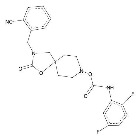 N#Cc1ccccc1CN1CC2(CCN(OC(=O)Nc3cc(F)ccc3F)CC2)OC1=O